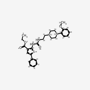 CCOC(=O)c1cc(-c2ccccc2)sc1NC(=O)NCCN1CCN(c2ccccc2OC)CC1